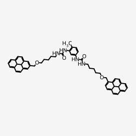 Cc1ccc(NC(=O)NCCCCCOCC2=CC=C3C=CC4=CC=CC5=CC=C2C3C45)cc1NC(=O)NCCCCCOCC1=CC2=CC=C3C=CC=C4C=CC(=C1)C2C43